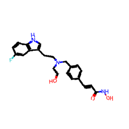 O=C(/C=C/c1ccc(CN(CCO)CCc2c[nH]c3ccc(F)cc23)cc1)NO